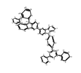 c1ccc(-c2nc(-c3ccccc3)nc(-c3ccc(-n4c5ccccc5c5cc(-c6ccc7c(c6)c6ccccc6n7-c6ccccc6-c6ccccc6)ccc54)cc3)n2)cc1